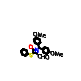 COc1ccc(C(c2ccc(OC)cc2)N2C(=O)C(Sc3ccccc3)C2C=O)cc1